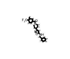 Cc1cc(C(=O)N2CCC(c3cc(NCc4ccccc4)on3)CC2)ccc1C(F)(F)F